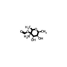 CC1O[C@@H](C)[C@H](O)[C@H](O)[C@@]1(N)OC=O